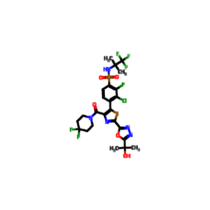 CC(C)(O)c1nnc(-c2nc(C(=O)N3CCC(F)(F)CC3)c(-c3ccc(S(=O)(=O)NC(C)(C)C(F)(F)F)c(F)c3Cl)s2)o1